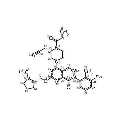 C=CC(=O)N1CCN(c2nc(OC[C@@H]3CCCN3C)nc3c(=O)n(-c4cccc(F)c4C)ncc23)C[C@@H]1CC#N